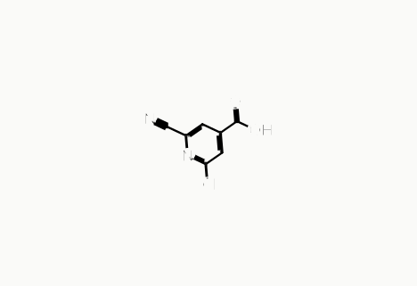 N#Cc1cc(C(=O)O)cc(Cl)n1